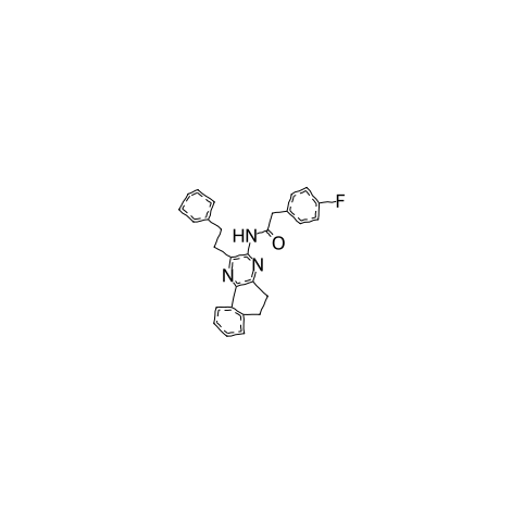 O=C(Cc1ccc(F)cc1)Nc1nc2c(nc1CCc1ccccc1)-c1ccccc1CC2